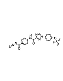 [N-]=[N+]=NC(=O)c1ccc(NC(=O)c2ncn(-c3ccc(OC(F)(F)F)cc3)n2)cc1